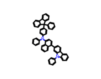 c1ccc(N(c2ccc(C3(c4ccccc4)c4ccccc4-c4ccccc43)cc2)c2ccc(-c3ccc4c5ccccc5n(-c5ccccc5)c4c3)c3ccccc23)cc1